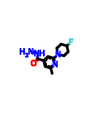 Cc1cc(C(=O)NN)cc(N2CCC(F)CC2)n1